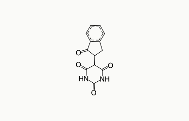 O=C1NC(=O)C(C2Cc3ccccc3C2=O)C(=O)N1